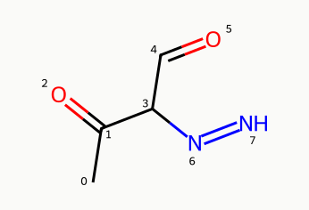 CC(=O)C(C=O)N=N